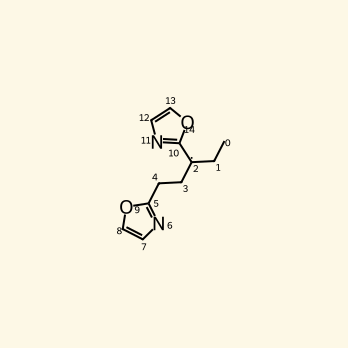 CC[C](CCc1ncco1)c1ncco1